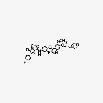 COc1cc2c(Oc3ccc(NC(=O)c4nn(-c5ccc(F)cc5)c(=O)n4C)cc3F)ccnc2cc1OCCCN1CCOCC1